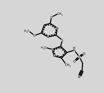 COc1cc(OC)nc(Sc2c(NS(=O)(=O)CC#N)c(C)nn2C)n1